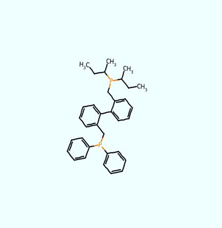 CCC(C)P(Cc1ccccc1-c1ccccc1CP(c1ccccc1)c1ccccc1)C(C)CC